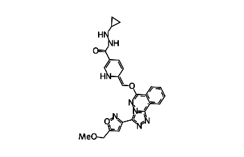 COCc1cc(-c2nnc3c4ccccc4c(OC=C4C=CC(C(=O)NNC5CC5)=CN4)nn23)no1